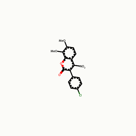 COc1ccc2c([N+](=O)[O-])c(-c3ccc(Cl)cc3)c(=O)oc2c1OC